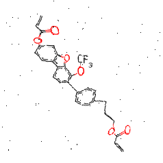 C=CC(=O)OCCCc1ccc(-c2ccc3c(oc4cc(OC(=O)C=C)ccc43)c2OC(F)(F)F)cc1